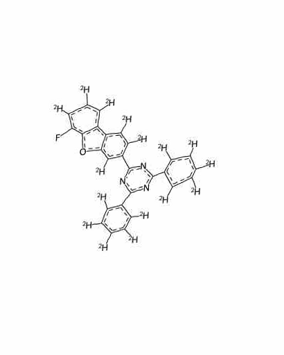 [2H]c1c([2H])c([2H])c(-c2nc(-c3c([2H])c([2H])c([2H])c([2H])c3[2H])nc(-c3c([2H])c([2H])c4c(oc5c(F)c([2H])c([2H])c([2H])c54)c3[2H])n2)c([2H])c1[2H]